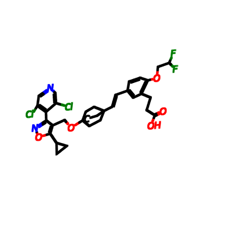 O=C(O)CCc1cc(/C=C/C23CCC(OCc4c(-c5c(Cl)cncc5Cl)noc4C4CC4)(CC2)CC3)ccc1OCC(F)F